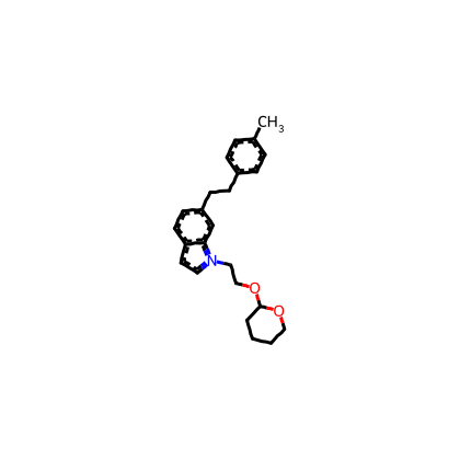 Cc1ccc(CCc2ccc3ccn(CCOC4CCCCO4)c3c2)cc1